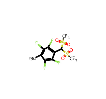 CCC(C)c1c(F)c(F)c(C(S(=O)(=O)C(F)(F)F)S(=O)(=O)C(F)(F)F)c(F)c1F